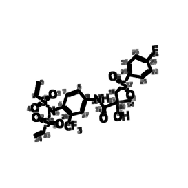 C=CS(=O)(=O)N(c1ccc(NC(=O)[C@@](C)(O)CS(=O)(=O)c2ccc(F)cc2)cc1C(F)(F)F)S(=O)(=O)C=C